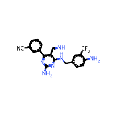 N#Cc1cccc(-c2nc(N)nc(NCc3ccc(N)c(C(F)(F)F)c3)c2C=N)c1